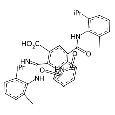 Cc1cccc(C(C)C)c1NC(=N)c1c(C(=O)O)cc(C(=O)Nc2c(C)cccc2C(C)C)c2c3ccc(c(=O)[nH]c3=O)c12